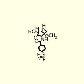 COC1(C(NC(=O)c2ccc(SC(F)(F)F)cc2)C(=O)NO)CNC1